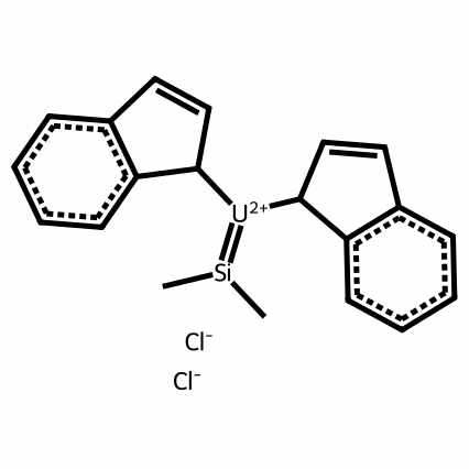 C[Si](C)=[U+2]([CH]1C=Cc2ccccc21)[CH]1C=Cc2ccccc21.[Cl-].[Cl-]